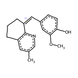 COc1cc(/C=C2/CCCc3cc(C)cnc32)ccc1O